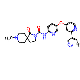 CN/C=C(\C=N)c1cc(Oc2ccc(NC(=O)N3CCC4(CCN(C)CC4)C3=O)nc2)ccn1